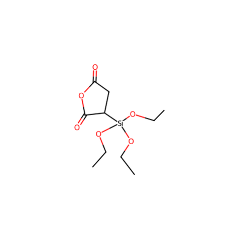 CCO[Si](OCC)(OCC)C1CC(=O)OC1=O